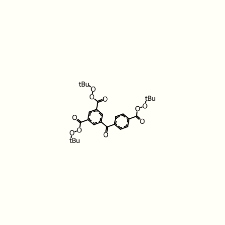 CC(C)(C)OOC(=O)c1ccc(C(=O)c2cc(C(=O)OOC(C)(C)C)cc(C(=O)OOC(C)(C)C)c2)cc1